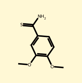 COc1[c]c(C(N)=S)ccc1OC